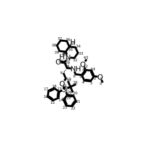 COc1ccc(CN[C@H](CCO[Si](c2ccccc2)(c2ccccc2)C(C)(C)C)C(=O)N2CCC[C@H]3CCCC[C@@H]32)c(OC)c1